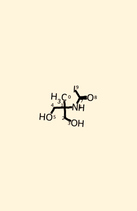 CC(CO)(CO)NC(=O)I